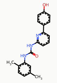 Cc1ccc(C)c(NC(=O)Nc2cccc(-c3ccc(O)cc3)n2)c1